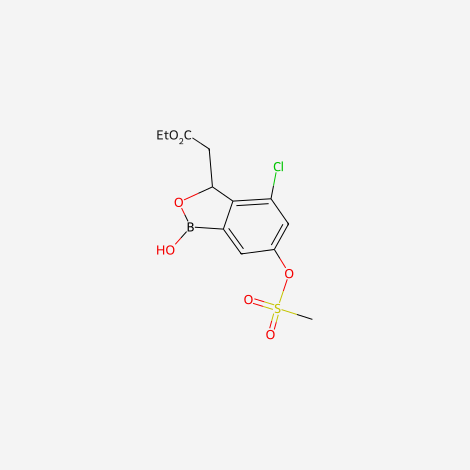 CCOC(=O)CC1OB(O)c2cc(OS(C)(=O)=O)cc(Cl)c21